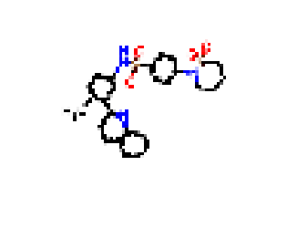 Cc1ccc(NS(=O)(=O)c2ccc(N3CCCCS3(=O)=O)cc2)cc1-c1ccc2ccccc2n1